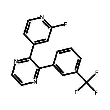 Fc1cc(-c2nccnc2-c2cccc(C(F)(F)F)c2)ccn1